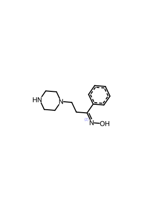 O/N=C(/CCN1CCNCC1)c1ccccc1